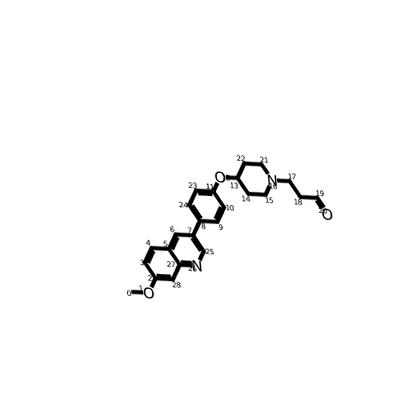 COc1ccc2cc(-c3ccc(OC4CCN(CCC=O)CC4)cc3)cnc2c1